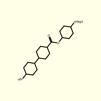 CCCCCCCC1CCC(OC(=O)C2CCC(C3CCC(CCC)CC3)CC2)CC1